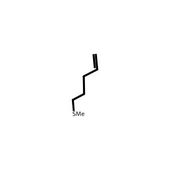 C=CCCCSC